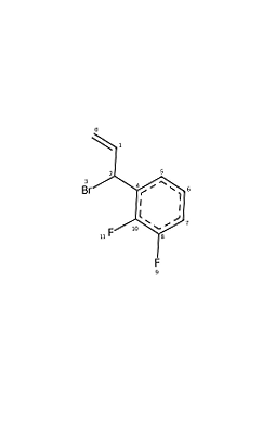 C=CC(Br)c1cccc(F)c1F